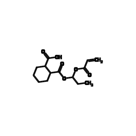 C=CC(=O)OC(CC)OC(=O)C1CCCCC1C(=O)O